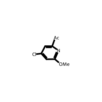 COc1cc(Cl)cc(C(C)=O)n1